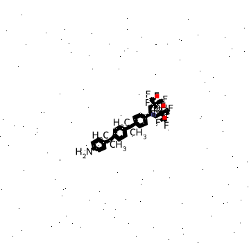 CC(C)(c1ccc(N)cc1)c1ccc(C(C)(C)c2ccc(/C(=C/C(O)(C(F)(F)F)C(F)(F)F)CC(O)(C(F)(F)F)C(F)(F)F)cc2)cc1